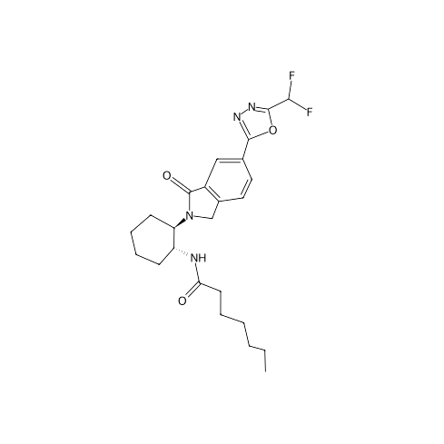 CCCCCCC(=O)N[C@@H]1CCCC[C@H]1N1Cc2ccc(-c3nnc(C(F)F)o3)cc2C1=O